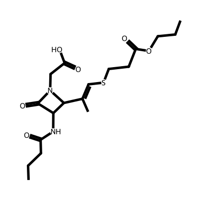 CCCOC(=O)CCSC=C(C)C1C(NC(=O)CCC)C(=O)N1CC(=O)O